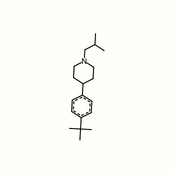 CC(C)CN1CCC(c2ccc(C(C)(C)C)cc2)CC1